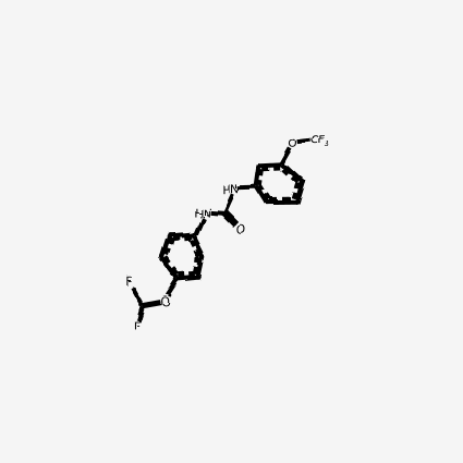 O=C(Nc1ccc(OC(F)F)cc1)Nc1cccc(OC(F)(F)F)c1